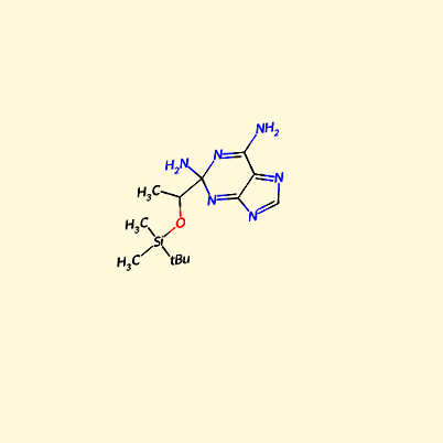 CC(O[Si](C)(C)C(C)(C)C)C1(N)N=C(N)C2=NC=NC2=N1